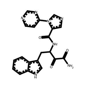 NC(=O)C(=O)C(Cc1c[nH]c2ccccc12)NC(=O)c1cncn1-c1ccncn1